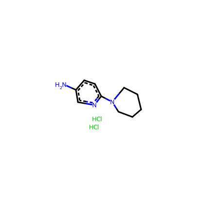 Cl.Cl.Nc1ccc(N2CCCCC2)nc1